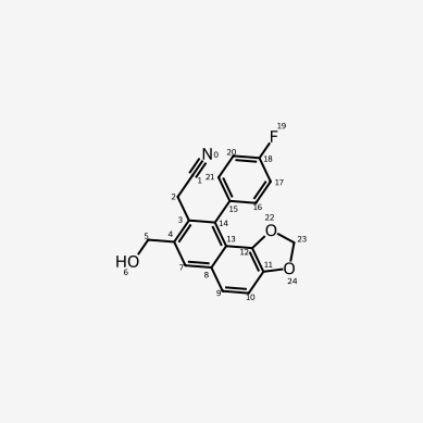 N#CCc1c(CO)cc2ccc3c(c2c1-c1ccc(F)cc1)OCO3